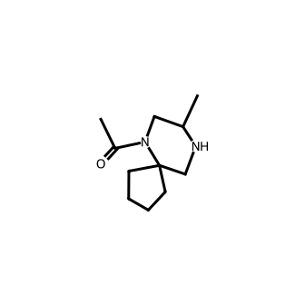 CC(=O)N1CC(C)NCC12CCCC2